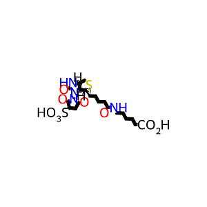 O=C(O)CCCCCNC(=O)CCCC[C@@H]1SC[C@@H]2NC(=O)N(N3C(=O)CC(S(=O)(=O)O)C3=O)[C@@H]21